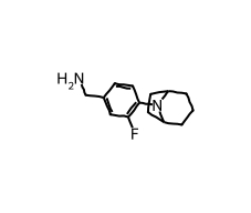 NCc1ccc(N2C3CCCC2CC3)c(F)c1